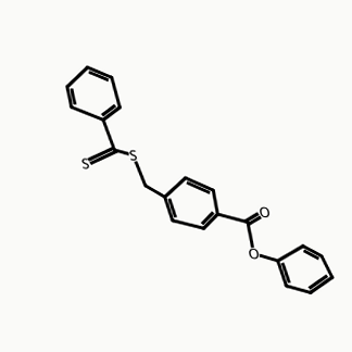 O=C(Oc1ccccc1)c1ccc(CSC(=S)c2ccccc2)cc1